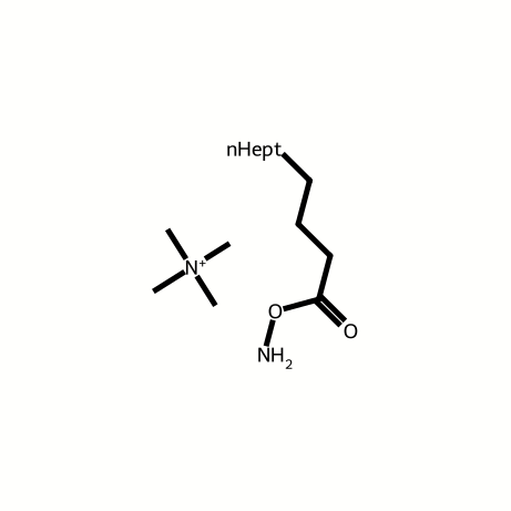 CCCCCCCCCCC(=O)ON.C[N+](C)(C)C